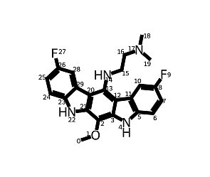 COc1c2[nH]c3ccc(F)cc3c2c(NCCN(C)C)c2c1[nH]c1ccc(F)cc12